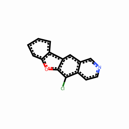 Clc1c2ccncc2cc2c1oc1ccccc12